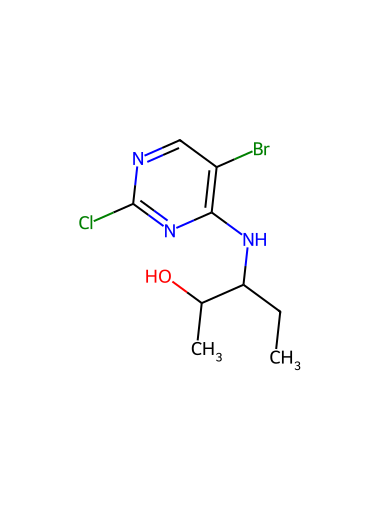 CCC(Nc1nc(Cl)ncc1Br)C(C)O